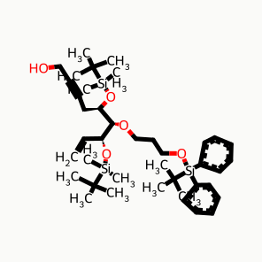 C=C[C@@H](O[Si](C)(C)C(C)(C)C)[C@H](OCCCO[Si](c1ccccc1)(c1ccccc1)C(C)(C)C)[C@@H](CC#CCO)O[Si](C)(C)C(C)(C)C